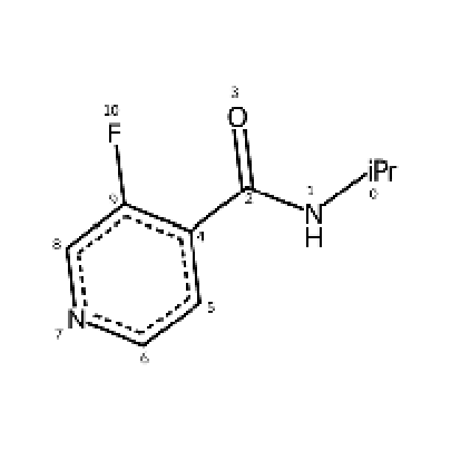 CC(C)NC(=O)c1ccncc1F